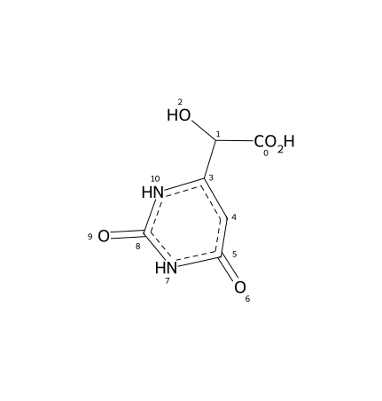 O=C(O)C(O)c1cc(=O)[nH]c(=O)[nH]1